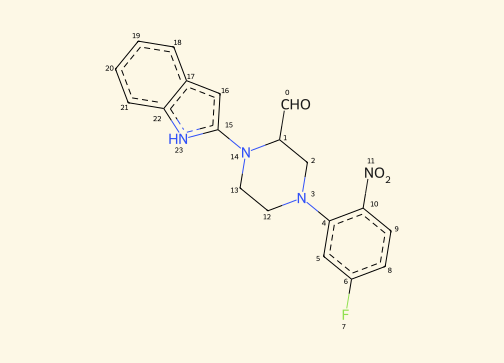 O=CC1CN(c2cc(F)ccc2[N+](=O)[O-])CCN1c1cc2ccccc2[nH]1